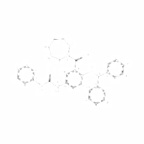 O=C(Nc1ccccc1)Nc1ccc(OC(c2ccccc2)c2ccccc2)c(C(=O)N2CCCCCC2)c1